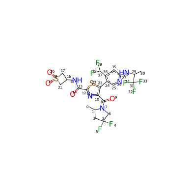 CC1CC(F)(F)CN1C(=O)c1nc(C(=O)NC2CS(=O)(=O)C2)sc1-c1cnc(NC(C)C(F)(F)F)cc1C(F)F